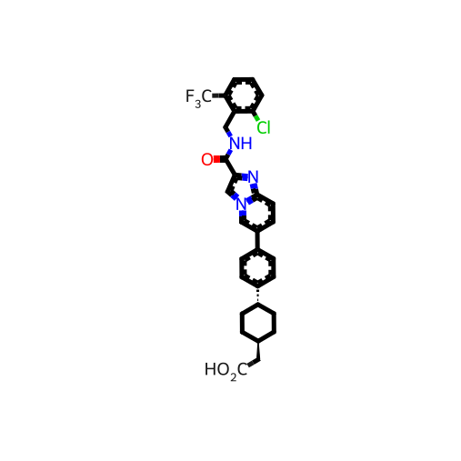 O=C(O)C[C@H]1CC[C@H](c2ccc(-c3ccc4nc(C(=O)NCc5c(Cl)cccc5C(F)(F)F)cn4c3)cc2)CC1